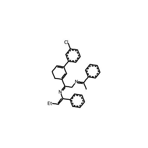 CC/C=C(\N=C(/C/N=C(\C)c1ccccc1)C1=CC(c2cccc(Cl)c2)=CCC1)c1ccccc1